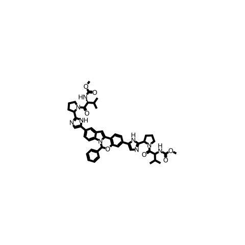 COC(=O)NC(C(=O)N1CCCC1c1ncc(-c2ccc3c(c2)OC(c2ccccc2)n2c-3cc3cc(-c4cnc(C5CCCN5C(=O)[C@@H](NC(=O)OC)C(C)C)[nH]4)ccc32)[nH]1)C(C)C